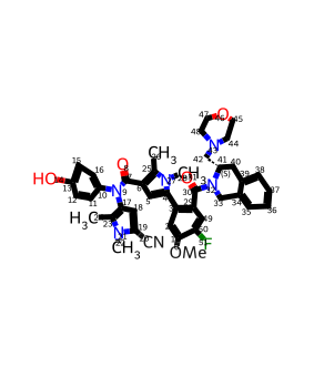 COc1cc(-c2cc(C(=O)N(c3ccc(O)cc3)c3cc(C#N)n(C)c3C)c(C)n2C)c(C(=O)N2Cc3ccccc3C[C@H]2CN2CCOCC2)cc1F